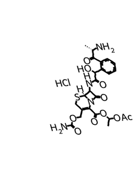 CC(=O)OC(C)OC(=O)C1=C(COC(N)=O)CS[C@H]2C(NC(=O)C(O)c3ccccc3C(=O)[C@H](C)N)C(=O)N12.Cl